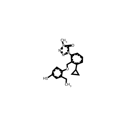 CCc1cc(S)ccc1OCc1c(C2CC2)cccc1-n1nnn(C)c1=O